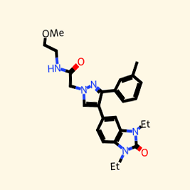 CCn1c(=O)n(CC)c2cc(-c3cn(CC(=O)NCCOC)nc3-c3cccc(C)c3)ccc21